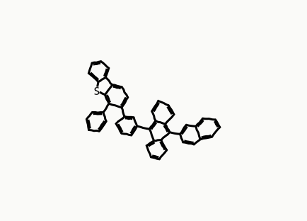 c1ccc(-c2c(-c3cccc(-c4c5ccccc5c(-c5ccc6ccccc6c5)c5ccccc45)c3)ccc3c2sc2ccccc23)cc1